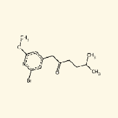 COc1cc(CC(=O)CCC(C)C)cc(Br)n1